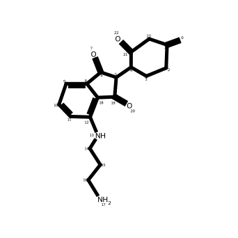 C=C1CCC(C2C(=O)c3cccc(NCCCN)c3C2=O)C(=O)C1